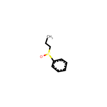 CCC[S+]([O-])c1cc[c]cc1